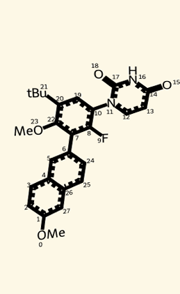 COc1ccc2cc(-c3c(F)c(-n4ccc(=O)[nH]c4=O)cc(C(C)(C)C)c3OC)ccc2c1